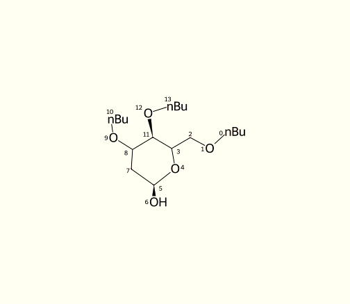 CCCCOCC1O[C@@H](O)CC(OCCCC)[C@H]1OCCCC